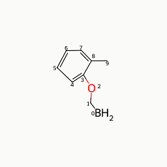 BCOc1ccccc1C